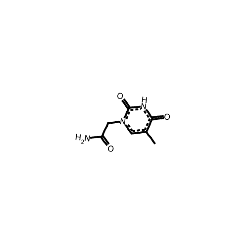 Cc1cn(CC(N)=O)c(=O)[nH]c1=O